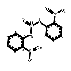 O=[N+]([O-])c1ccccc1O[PH](=O)Oc1ccccc1[N+](=O)[O-]